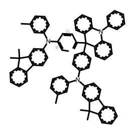 C=C(/C=C\C(=C/C)N(c1cccc(C)c1)c1ccc2c(c1)C(C)(C)c1ccccc1-2)C1(c2ccc(N(c3cccc(C)c3)c3ccc4c(c3)C(C)(C)c3ccccc3-4)cc2)c2ccccc2N(c2ccccc2)c2ccccc21